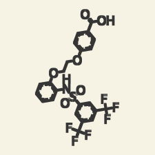 O=C(O)c1ccc(OCCOc2ccccc2NS(=O)(=O)c2cc(C(F)(F)F)cc(C(F)(F)F)c2)cc1